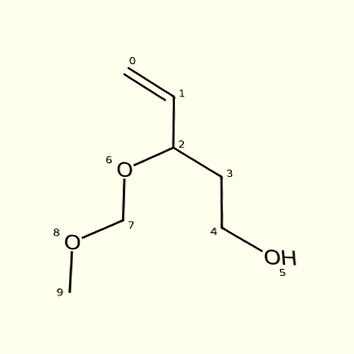 C=CC(CCO)OCOC